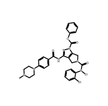 CCc1ccccc1N(CC)C(=O)N1Cc2c(NC(=O)c3ccc(N4CCN(C)CC4)cc3)nn(C(=O)Oc3ccccc3)c2C1